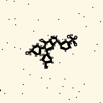 O=c1c2ncn(-c3cccc(S(=O)(=O)Cl)c3)c2nc(-c2ccc(Br)cc2)n1-c1ccc(Cl)cc1